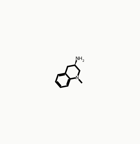 CN1C[C@H](N)Cc2ccccc21